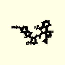 CCOC(=O)c1ccc2nc(N3C(COCc4c(-c5ccccc5OC(F)(F)F)noc4C4CC4)CC[C@H]3CC)sc2c1